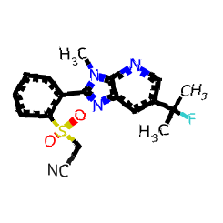 Cn1c(-c2ccccc2S(=O)(=O)CC#N)nc2cc(C(C)(C)F)cnc21